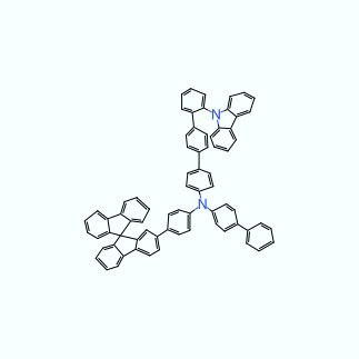 c1ccc(-c2ccc(N(c3ccc(-c4ccc(-c5ccccc5-n5c6ccccc6c6ccccc65)cc4)cc3)c3ccc(-c4ccc5c(c4)C4(c6ccccc6-c6ccccc64)c4ccccc4-5)cc3)cc2)cc1